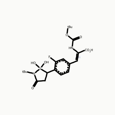 CC(C)(C)OC(=O)N/C(=C\c1ccc(C2CC(=O)N(C(C)(C)C)S2(O)O)c(F)c1)C(=O)O